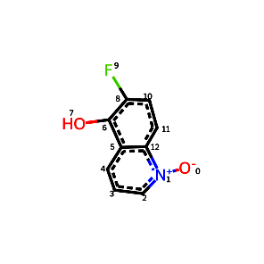 [O-][n+]1cccc2c(O)c(F)ccc21